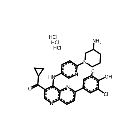 Cl.Cl.Cl.NC1CCCN(c2ccc(Nc3c(C(=O)C4CC4)cnc4ccc(-c5cc(Cl)c(O)c(Cl)c5)nc34)cn2)C1